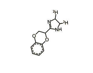 [2H]C1N=C(C2COc3ccccc3O2)NC1[2H]